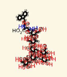 CC1C(O)[C@H](O)[C@H](CO)O[C@H]1OC1C(O)[C@H](O)C(CO)O[C@@H]1OCC1O[C@@H](O[C@@H]2C(CO)O[C@@H](O[C@@H]3C(CO)O[C@@H](NC(=O)CC(NC(=O)OCC4c5ccccc5-c5ccccc54)C(=O)O)[C@@H](C)C3O)[C@@H](C)C2O)C(O)C(O[C@H]2O[C@H](CO)[C@@H](O)C(O)C2O[C@@H]2OC(CO)[C@@H](O)C(O)[C@@H]2C)[C@@H]1O